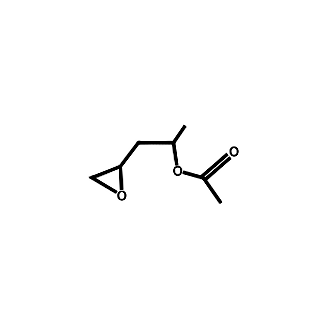 CC(=O)OC(C)CC1CO1